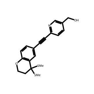 CSC1(SC)CCOc2ccc(C#Cc3ccc(CO)cn3)cc21